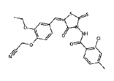 CCOc1cc(C=C2SC(=S)N(NC(=O)c3ccc(C)cc3Cl)C2=O)ccc1OCC#N